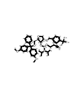 COc1ccc(C(OC[C@H]2OC[C@H](OCc3ccc(C(F)(F)F)cc3)[C@@H]2OP(OCCC#N)N(C(C)C)C(C)C)(c2ccccc2)c2ccc(OC)cc2)cc1